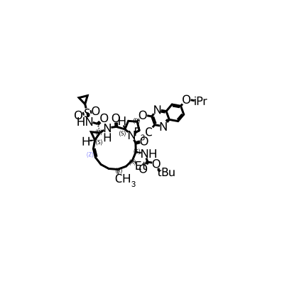 CC[C@@H]1C[C@H](C)CC/C=C\[C@@H]2C[C@@]2(C(=O)NS(=O)(=O)C2CC2)NC(=O)[C@@H]2C[C@@H](Oc3nc4cc(OC(C)C)ccc4nc3C(F)(F)F)CN2C(=O)[C@H]1NC(=O)OC(C)(C)C